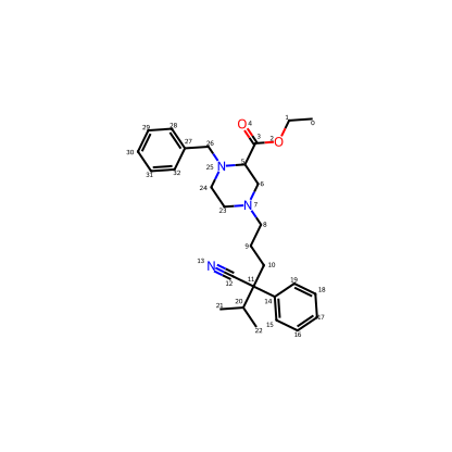 CCOC(=O)C1CN(CCCC(C#N)(c2ccccc2)C(C)C)CCN1Cc1ccccc1